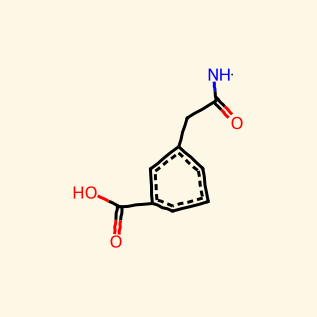 [NH]C(=O)Cc1cccc(C(=O)O)c1